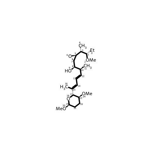 CC[C@H](OC)[C@@H](C)[C@@H]1O[C@H]1[C@H](O)[C@@H](C)/C=C/C=C(\C)[C@H]1O[C@H](OC)CC[C@@H]1OC